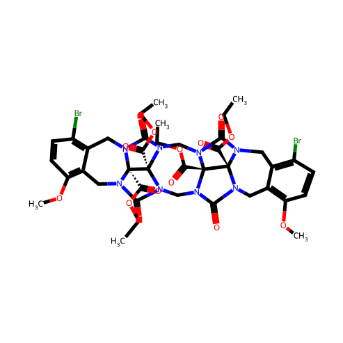 CCOC(=O)[C@]12N3CN4C(=O)N5Cc6c(Br)ccc(OC)c6CN6C(=O)N(CN1C(=O)N1Cc7c(OC)ccc(Br)c7CN(C3=O)[C@]12C(=O)OCC)[C@@]4(C(=O)OCC)[C@]56C(=O)OCC